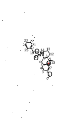 COc1ccc(CC2C(C(C)=O)CCCN2C(=O)OCc2ccccc2)cc1